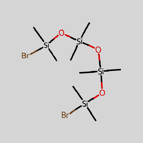 C[Si](C)(Br)O[Si](C)(C)O[Si](C)(C)O[Si](C)(C)Br